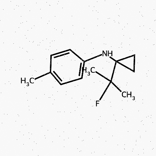 Cc1ccc(NC2(C(C)(C)F)CC2)cc1